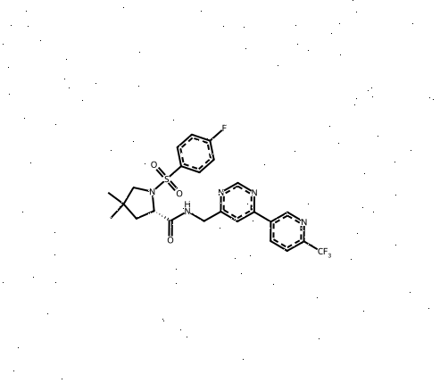 CC1(C)C[C@@H](C(=O)NCc2cc(-c3ccc(C(F)(F)F)nc3)ncn2)N(S(=O)(=O)c2ccc(F)cc2)C1